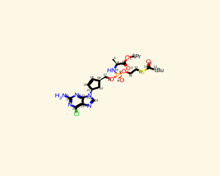 CC(C)OC(=O)[C@H](C)NP(=O)(OCCSC(=O)C(C)(C)C)OC[C@@H]1C=C[C@H](n2cnc3c(Cl)nc(N)nc32)C1